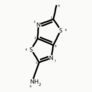 Cc1nc2sc(N)nc2s1